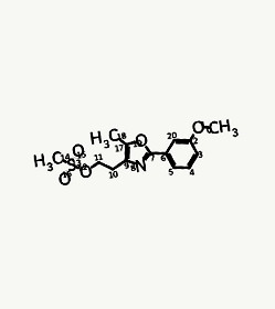 COc1cccc(-c2nc(CCOS(C)(=O)=O)c(C)o2)c1